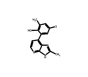 Cc1nc2c(-c3cc(Cl)cc(C)c3O)ccnc2[nH]1